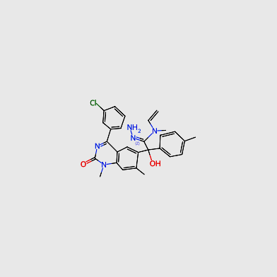 C=CN(C)/C(=N\N)C(O)(c1ccc(C)cc1)c1cc2c(-c3cccc(Cl)c3)nc(=O)n(C)c2cc1C